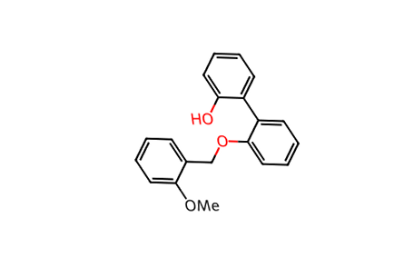 COc1ccccc1COc1ccccc1-c1ccccc1O